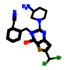 N#Cc1ccccc1Cn1c(N2CCCC(N)C2)nc2cc(C(Br)Br)sc2c1=O